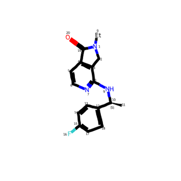 CCN1Cc2c(ccnc2N[C@@H](C)c2ccc(F)cc2)C1=O